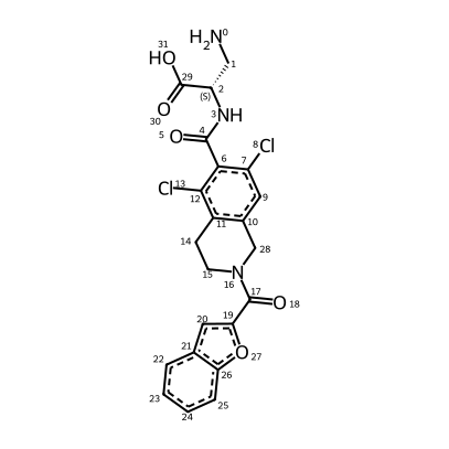 NC[C@H](NC(=O)c1c(Cl)cc2c(c1Cl)CCN(C(=O)c1cc3ccccc3o1)C2)C(=O)O